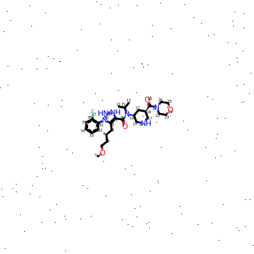 COCCCCC1=C(C(=O)N(C(C)C)[C@@H]2CNC[C@H](C(=O)N3CCOCC3)C2)NNN1c1ccccc1F